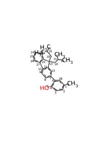 Cc1ccc(O)c(-c2ccc3c(c2)C(CC(C)C)(CC(C)C)c2ccccc2-3)c1